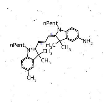 CCCCCN1/C(=C/C=C/C2=[N+](CCCCC)c3ccc(C)cc3C2(C)C)C(C)(C)c2cc(N)ccc21